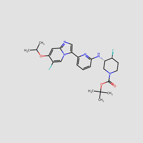 CC(C)Oc1cc2ncc(-c3cccc(N[C@H]4CN(C(=O)OC(C)(C)C)CC[C@@H]4F)n3)n2cc1F